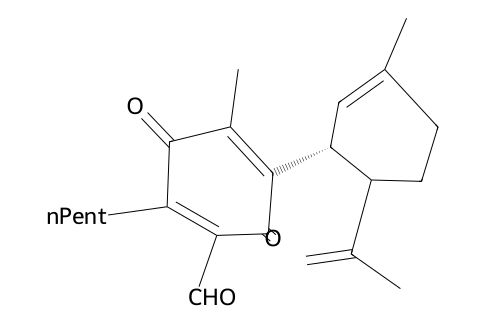 C=C(C)C1CCC(C)=C[C@H]1C1=C(C)C(=O)C(CCCCC)=C(C=O)C1=O